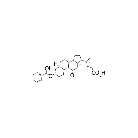 CC(CCC(=O)O)C1CCC2C3CC[C@@H]4C[C@H](OC(O)c5ccccc5)CC[C@]4(C)C3C(=O)C[C@]12C